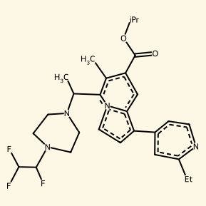 CCc1cc(-c2ccn3c(C(C)N4CCN(C(F)C(F)F)CC4)c(C)c(C(=O)OC(C)C)cc23)ccn1